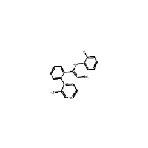 N/N=C(\Nc1ccccc1F)c1ccccc1-c1ccccc1N